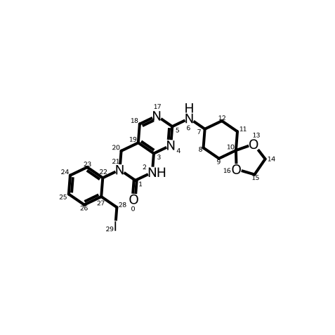 O=C1Nc2nc(NC3CCC4(CC3)OCCO4)ncc2CN1c1ccccc1CI